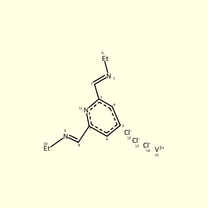 CCN=Cc1cccc(C=NCC)n1.[Cl-].[Cl-].[Cl-].[V+3]